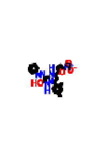 Cc1ccc(C2CC(c3ccc([N+](=O)[O-])o3)NC3C(N=Nc4ccccc4)=C(O)NN32)c(C)c1